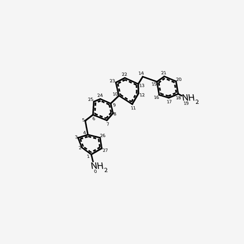 Nc1ccc(Cc2ccc(-c3ccc(Cc4ccc(N)cc4)cc3)cc2)cc1